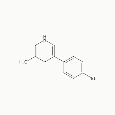 CCc1ccc(C2=CNC=C(C)C2)cc1